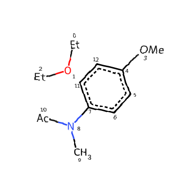 CCOCC.COc1ccc(N(C)C(C)=O)cc1